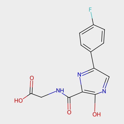 O=C(O)CNC(=O)c1nc(-c2ccc(F)cc2)cnc1O